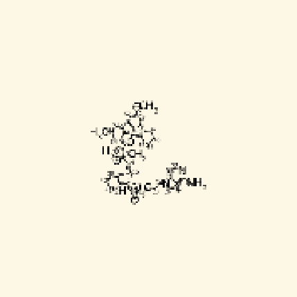 COc1ccc(C(OCC(C)(C)C(=O)CSCCOP(=O)(COCCn2cnc3c(N)ncnc32)NCc2ccccc2)(c2ccccc2)c2ccc(C)cc2)cc1